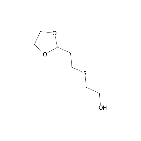 OCCSCCC1OCCO1